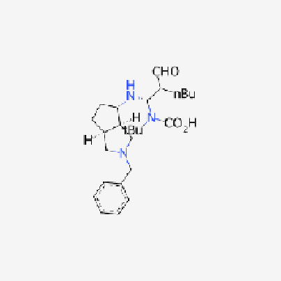 CCCCC(C=O)[C@@H](N[C@H]1CC[C@@H]2CN(Cc3ccccc3)C[C@@H]21)N(C(=O)O)C(C)(C)C